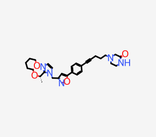 C[C@H](OC1CCCCO1)c1nccn1Cc1cc(-c2ccc(C#CCCCN3CCNC(=O)C3)cc2)on1